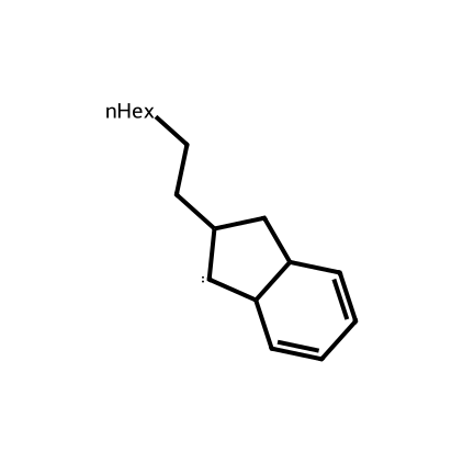 CCCCCCCCC1[C]C2C=CC=CC2C1